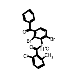 Cc1cccc(Cl)c1C(=O)[PH](=O)c1c(Br)ccc(C(=O)c2ccccc2)c1Br